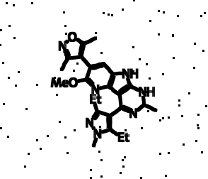 CCc1nn(C)c(CC)c1C1=NC(C)Nc2[nH]c3cc(-c4c(C)noc4C)c(OC)nc3c21